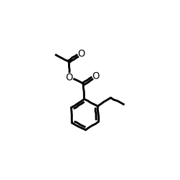 CCc1ccccc1C(=O)OC(C)=O